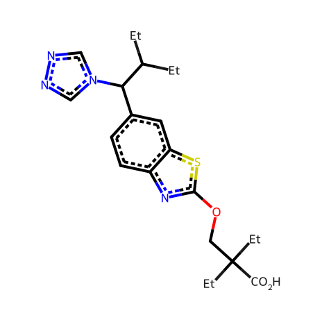 CCC(CC)C(c1ccc2nc(OCC(CC)(CC)C(=O)O)sc2c1)n1cnnc1